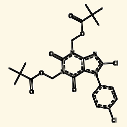 CC(C)(C)C(=O)OCn1c(=O)c2c(nc(Cl)n2-c2ccc(Cl)cc2)n(COC(=O)C(C)(C)C)c1=O